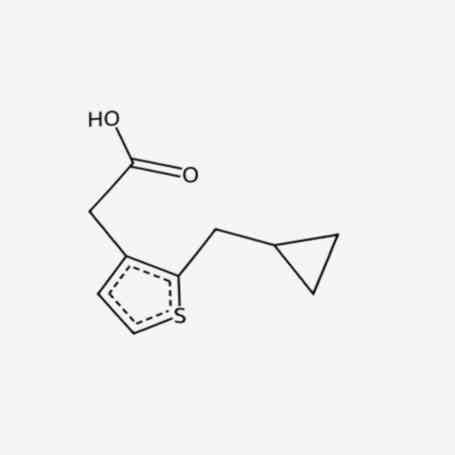 O=C(O)Cc1ccsc1CC1CC1